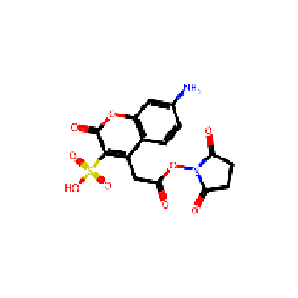 Nc1ccc2c(CC(=O)ON3C(=O)CCC3=O)c(S(=O)(=O)O)c(=O)oc2c1